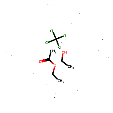 CCO.CCOC(C)=O.ClC(Cl)(Cl)Cl